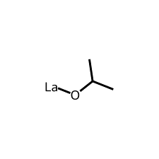 CC(C)[O][La]